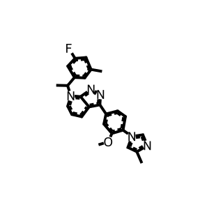 COc1cc(-c2nnc3n(C(C)c4cc(C)cc(F)c4)cccc2-3)ccc1-n1cnc(C)c1